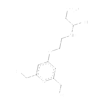 CCOC(=O)CC(C)NCCOc1cc(CO)nc(CO)c1